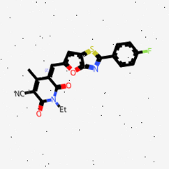 CCN1C(=O)C(C#N)=C(C)/C(=C/c2cc3sc(-c4ccc(F)cc4)nc3o2)C1=O